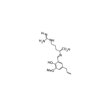 [H]/N=C(\N)NCCC[C@H](N=Cc1cc(CC=C)cc(OC)c1O)C(=O)O